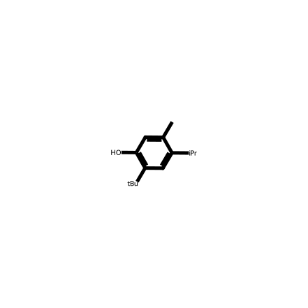 [CH2]C(C)c1cc(C(C)(C)C)c(O)cc1C